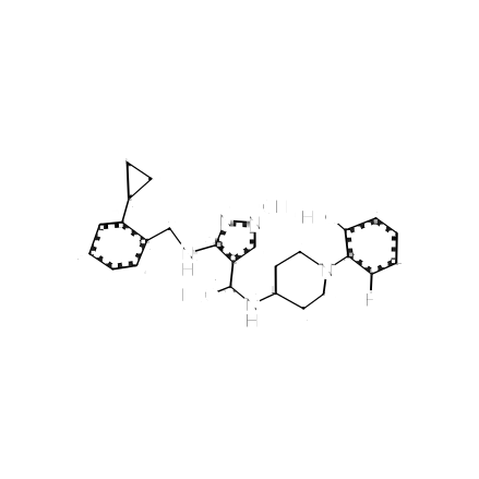 Cc1cccc(F)c1N1CCC(NC(C)c2cn(C)nc2NCc2ccccc2C2CC2)CC1